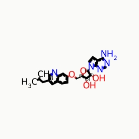 CC(C)Cc1cnc2cc(OC[C@H]3O[C@@H](n4ccc5c(N)ncnc54)[C@H](O)[C@@H]3O)ccc2c1